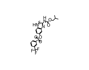 CC(C)COC(=O)NC1=Nc2cc(OS(=O)(=O)c3cccc(C(F)(F)F)c3)ccc2NS1